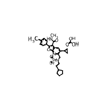 CNC(=O)c1c(-c2ccc(C)cc2)oc2nc(CN(CCC3CCCC3)[SH](=O)=O)c(C3CC3)cc12.O=C(O)O